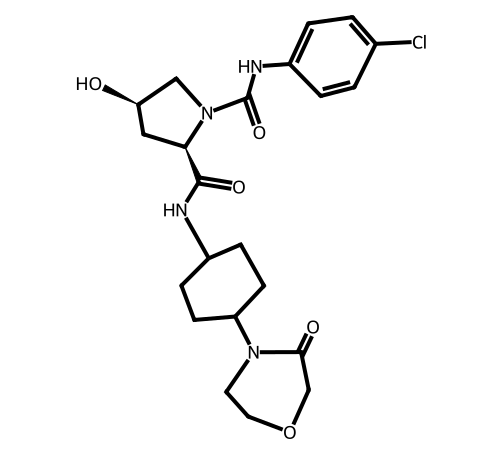 O=C(NC1CCC(N2CCOCC2=O)CC1)[C@H]1C[C@@H](O)CN1C(=O)Nc1ccc(Cl)cc1